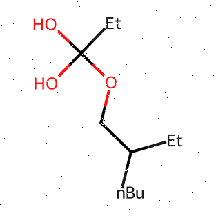 CCCCC(CC)COC(O)(O)CC